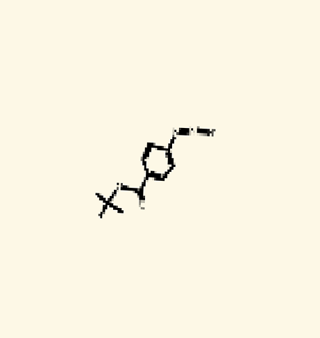 CC(C)(C)OC(=O)c1ccc(N=[N+]=[N-])cc1